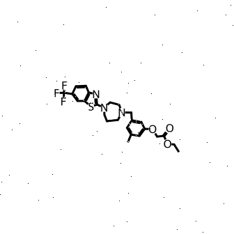 CCOC(=O)COc1cc(C)cc(CN2CCCN(c3nc4ccc(C(F)(F)F)cc4s3)CC2)c1